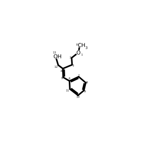 COCC/C(=C\c1ccccc1)CO